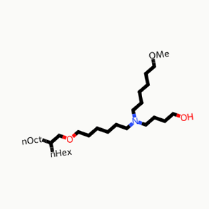 CCCCCCCCC(CCCCCC)COCCCCCCN(CCCCO)CCCCCCOC